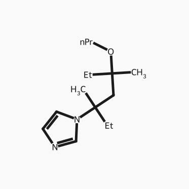 CCCOC(C)(CC)CC(C)(CC)n1ccnc1